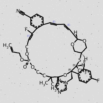 C=CCOP1(=O)OC/C=C(/F)c2cc(C#N)ccc2/C=C/C=C/[C@H]2OC[C@@H](CO2)S[C@H](C)[C@](Cn2cncn2)(c2ccc(F)cc2F)OC(=O)C(C)(C)CCO1